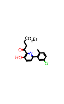 CCOC(=O)CCC(=O)c1nc(-c2cc(Cl)ccc2C)ccc1O